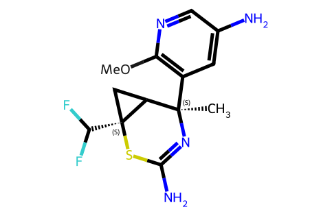 COc1ncc(N)cc1[C@@]1(C)N=C(N)S[C@@]2(C(F)F)CC21